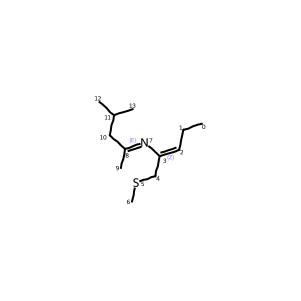 CC/C=C(CSC)\N=C(/C)CC(C)C